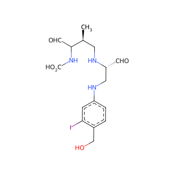 C[C@@H](CN[C@H](C=O)CNc1ccc(CO)c(I)c1)C(C=O)NC(=O)O